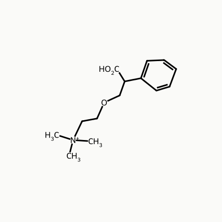 C[N+](C)(C)CCOCC(C(=O)O)c1ccccc1